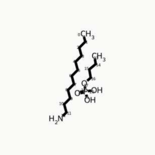 CCCCCCCCCCCCN.CCCCOP(=O)(O)O